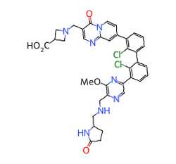 COc1nc(-c2cccc(-c3cccc(-c4ccn5c(=O)c(CN6CC(C(=O)O)C6)cnc5c4)c3Cl)c2Cl)cnc1CNCC1CCC(=O)N1